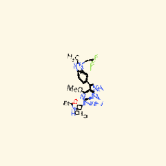 CCC(=O)NC1(C)CC(Nc2nc(OC)c3c(-c4ccc5nc(C)n(CC(F)F)c5c4)c[nH]c3n2)C1